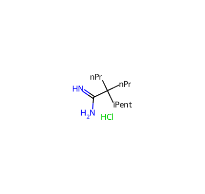 CCCC(C)C(CCC)(CCC)C(=N)N.Cl